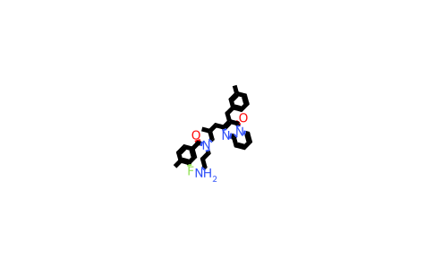 Cc1cccc(Cc2c(CC(C)CN(CCCN)C(=O)c3ccc(C)c(F)c3)nc3ccccn3c2=O)c1